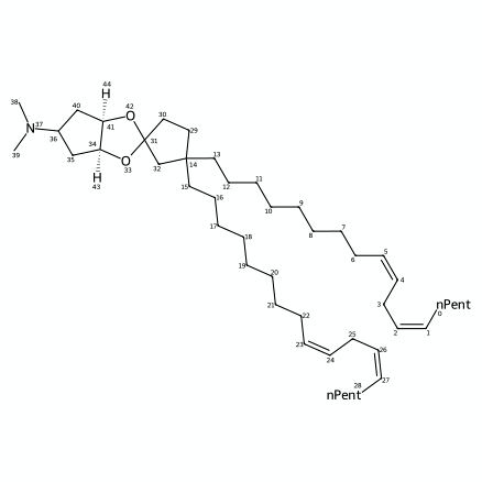 CCCCC/C=C\C/C=C\CCCCCCCCC1(CCCCCCCC/C=C\C/C=C\CCCCC)CCC2(C1)O[C@H]1CC(N(C)C)C[C@H]1O2